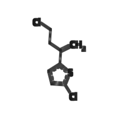 C=C(CCCl)c1ccc(Cl)s1